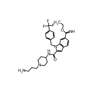 CCOC(=N)c1ccc2cc(C(=O)NC3CCN(CCCN)CC3)n(Cc3ccc(C(F)(F)F)cc3)c2c1